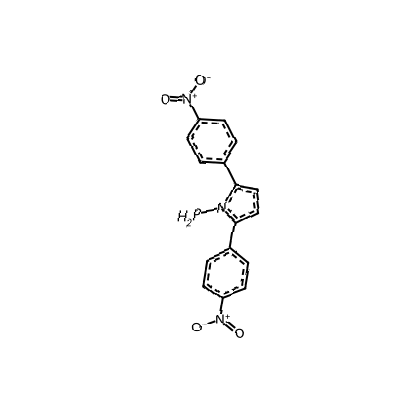 O=[N+]([O-])c1ccc(-c2ccc(-c3ccc([N+](=O)[O-])cc3)n2P)cc1